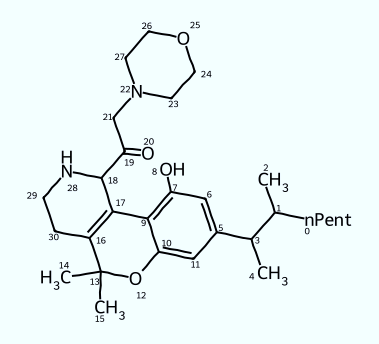 CCCCCC(C)C(C)c1cc(O)c2c(c1)OC(C)(C)C1=C2C(C(=O)CN2CCOCC2)NCC1